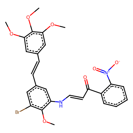 COc1cc(C=Cc2cc(Br)c(OC)c(NC=CC(=O)c3ccccc3[N+](=O)[O-])c2)cc(OC)c1OC